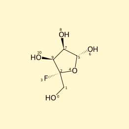 OC[C@]1(F)O[C@@H](O)[C@H](O)[C@@H]1O